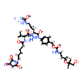 CC(C)[C@H](NC(=O)CCCCCN1C(=O)CC(I)C1=O)C(=O)N[C@@H](CCCNC(N)=O)C(=O)Nc1ccc(COC(=O)NCCCOC(C)(C)CO)cc1